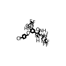 NC(=O)c1c(-c2ccc(NS(=O)(=O)CC(F)(F)F)c(OCc3ccc(Cl)cc3)c2)n[nH]c1Nc1cnc(C(F)(F)F)cn1